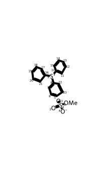 COS(=O)(=O)[O-].c1ccc([S+](c2ccccc2)c2ccccc2)cc1